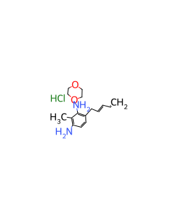 C1COCCO1.C=CC=CCc1ccc(N)c(C)c1N.Cl